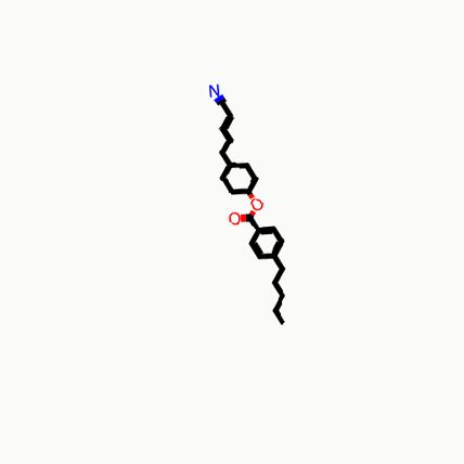 CCCCCc1ccc(C(=O)OC2CCC(CCC=CC#N)CC2)cc1